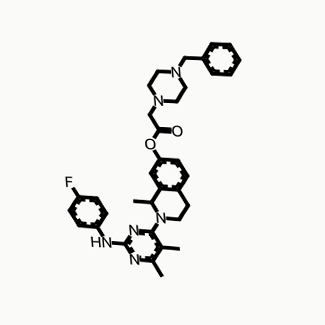 Cc1nc(Nc2ccc(F)cc2)nc(N2CCc3ccc(OC(=O)CN4CCN(Cc5ccccc5)CC4)cc3C2C)c1C